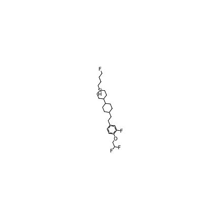 FCCCC[SiH]1CCC(C2CCC(CCc3ccc(OCC(F)F)c(F)c3)CC2)CC1